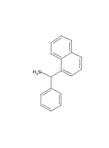 [SiH3]C(c1ccccc1)c1cccc2ccccc12